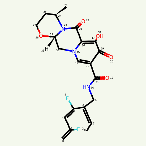 C=C(F)/C=C(F)\C(=C/C)CNC(=O)c1cn2c(c(O)c1=O)C(=O)N1[C@H](C)CCO[C@H]1C2